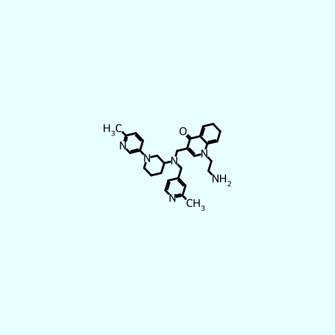 Cc1ccc(N2CCCC(N(Cc3ccnc(C)c3)Cc3cn(CCN)c4c(c3=O)=CCCC=4)C2)cn1